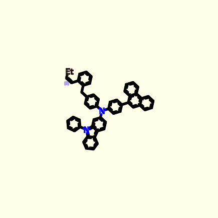 CC/C=C\c1ccccc1Cc1ccc(N(c2ccc(-c3cc4ccccc4c4ccccc34)cc2)c2ccc3c4ccccc4n(-c4ccccc4)c3c2)cc1